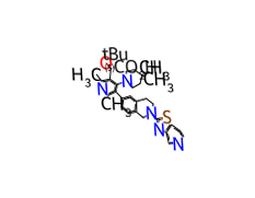 Cc1nc(C)c([C@H](OC(C)(C)C)C(=O)O)c(N2CCC(C)(C)CC2)c1-c1ccc2c(c1)CCN(c1nc3cnccc3s1)C2